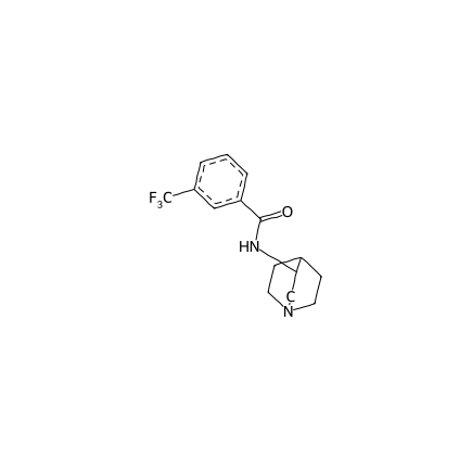 O=C(NC1CN2CCC1CC2)c1cccc(C(F)(F)F)c1